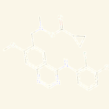 COc1cc2ncnc(Nc3cccc(Cl)c3F)c2cc1CN(C)OC(=O)C1CC1